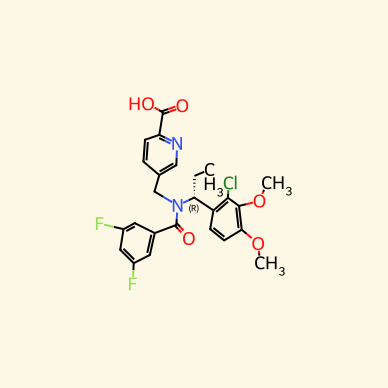 CC[C@H](c1ccc(OC)c(OC)c1Cl)N(Cc1ccc(C(=O)O)nc1)C(=O)c1cc(F)cc(F)c1